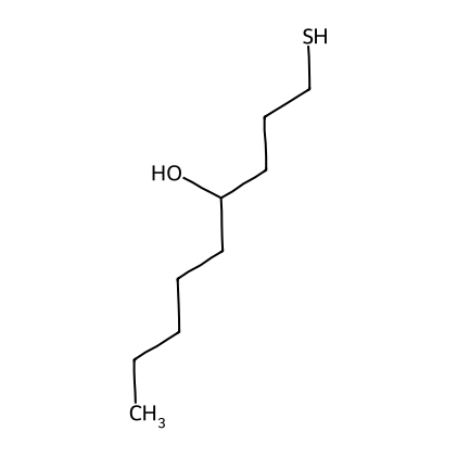 CCCCCC(O)CCCS